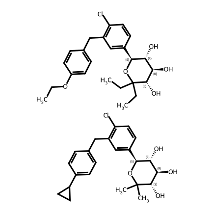 CC1(C)O[C@@H](c2ccc(Cl)c(Cc3ccc(C4CC4)cc3)c2)[C@H](O)[C@@H](O)[C@@H]1O.CCOc1ccc(Cc2cc([C@@H]3OC(CC)(CC)[C@@H](O)[C@H](O)[C@H]3O)ccc2Cl)cc1